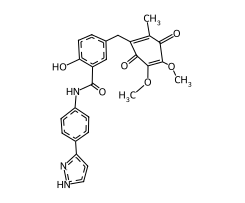 COC1=C(OC)C(=O)C(Cc2ccc(O)c(C(=O)Nc3ccc(-c4cc[nH]n4)cc3)c2)=C(C)C1=O